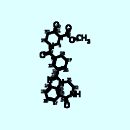 COC(=O)C1CN(C(=O)C2=CC(c3nc4cccc5c4n3CCNC5=O)=CCC2)CCC1=O